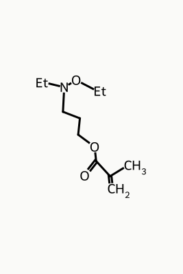 C=C(C)C(=O)OCCCN(CC)OCC